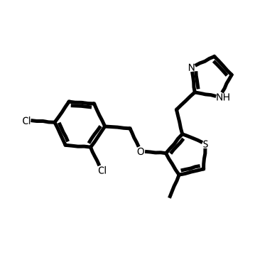 Cc1csc(Cc2ncc[nH]2)c1OCc1ccc(Cl)cc1Cl